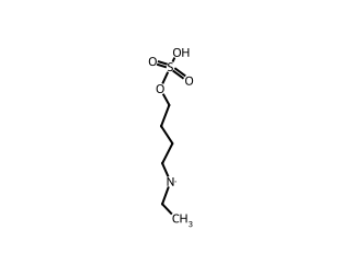 CC[N]CCCCOS(=O)(=O)O